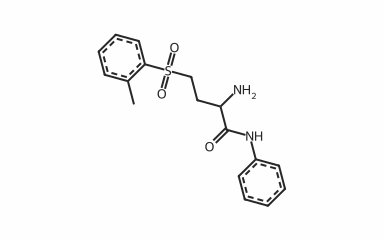 Cc1ccccc1S(=O)(=O)CCC(N)C(=O)Nc1ccccc1